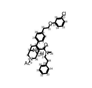 CC(=O)N1CC2CC(c3ccc(CCOc4cccc(Cl)c4)cc3)=C(C(=O)N(C)CCc3ccccc3)[C@@H](C1)N2